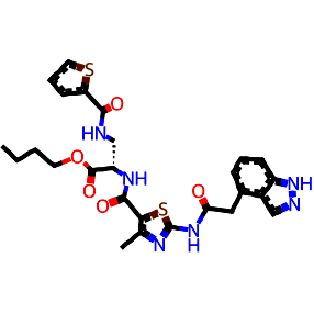 CCCCOC(=O)[C@H](CNC(=O)c1cccs1)NC(=O)c1sc(NC(=O)Cc2cccc3[nH]ncc23)nc1C